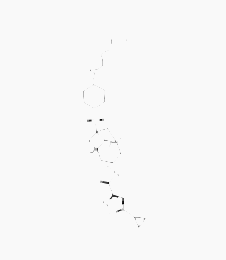 COCCN[C@H]1CC[C@H](S(=O)(=O)C23C[C@H]4C[C@@H](NC(=O)c5cc(C6CC6)on5)C[C@@H](C2)C43)CC1